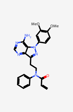 C=CC(=O)N(CCc1nn(-c2ccc(OC)c(OC)c2)c2c(N)ncnc12)c1ccccc1